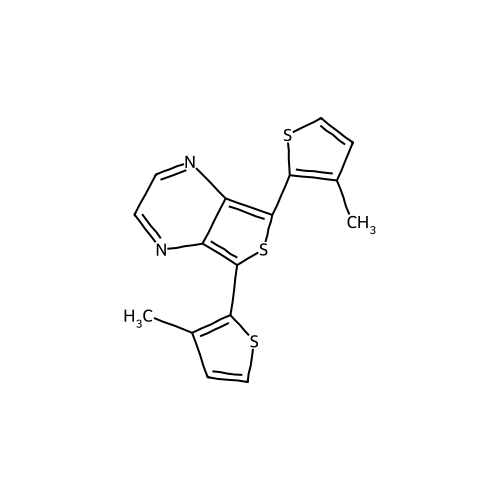 Cc1ccsc1-c1sc(-c2sccc2C)c2nccnc12